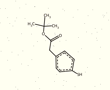 CC(C)(C)OC(=O)Cc1ccc(S)cc1